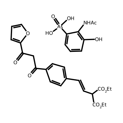 CC(=O)Nc1c(O)cccc1[As](=O)(O)O.CCOC(=O)C(C=Cc1ccc(C(=O)CC(=O)c2ccco2)cc1)C(=O)OCC